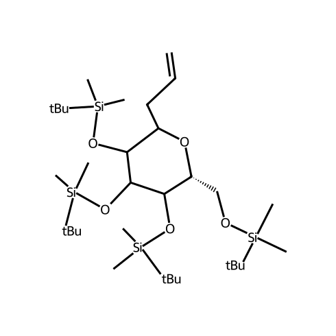 C=CCC1O[C@H](CO[Si](C)(C)C(C)(C)C)C(O[Si](C)(C)C(C)(C)C)C(O[Si](C)(C)C(C)(C)C)C1O[Si](C)(C)C(C)(C)C